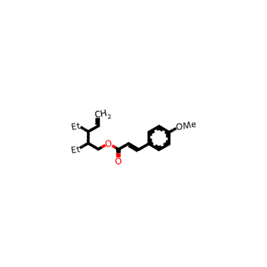 C=CC(CC)C(CC)COC(=O)/C=C/c1ccc(OC)cc1